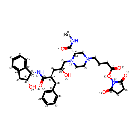 CC(C)(C)NC(=O)[C@@H]1CN(CCCC(=O)ON2C(=O)CCC2=O)CCN1C[C@@H](O)C[C@@H](Cc1ccccc1)C(=O)N[C@H]1c2ccccc2C[C@H]1O